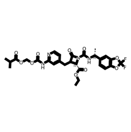 CCOC(=O)[C@@H]1C(Cc2ccnc(NC(=O)OCOC(=O)C(C)C)c2)C(=O)N1C(=O)N[C@H](C)c1ccc2c(c1)OC(F)(F)O2